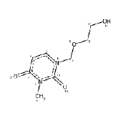 Cn1c(=O)ccn(COCCO)c1=O